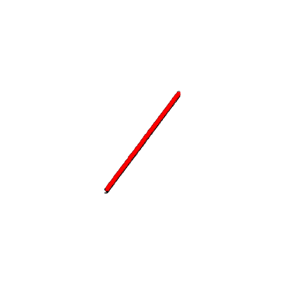 S=S=S=S=S=S=S=S=S=S=S=S=S=S=S=S=S=S=S=S=S=S=S=S=S=S=S=S=S=S=S=S=S=S=S=S=S=S=S=S=S=S=S=S=S=S=S=S=S=S=S=S=S=S=S=S=S=S=S=S=S=S=S=S=S=S=S=S=S=S=S=S=S=S=S=S=S=S=S=S=S=S=S=S=S=S=S=S=S=S=S=S=S=S=S=S=S=S=S=S=S=S=S=S=S=S=S=S=S=S=S=S=S=S=S=S=S=S=S=S=S=S=S=S=S=S=S